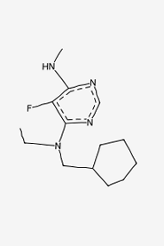 CCN(CC1CCCCC1)c1ncnc(NC)c1F